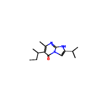 CCC(C)c1c(C)nc2[nH]c(C(C)C)cn2c1=O